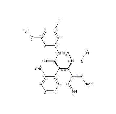 CN/C=C(\C=N)[C@@H]([C@H](C(=O)Nc1cc(F)cc(OC(F)(F)F)c1)c1ccccc1C=O)N(N)CC(C)C